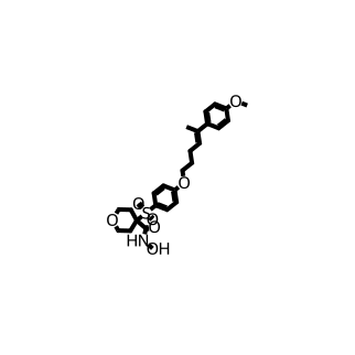 COc1ccc(C(C)=CCCCOc2ccc(S(=O)(=O)C3(C(=O)NO)CCOCC3)cc2)cc1